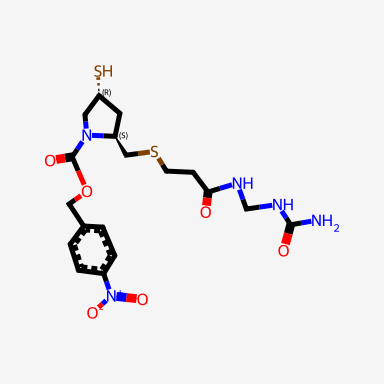 NC(=O)NCNC(=O)CCSC[C@@H]1C[C@@H](S)CN1C(=O)OCc1ccc([N+](=O)[O-])cc1